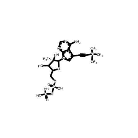 C[C@@]1(O)C(O)C(COP(=O)(O)OP(=O)(O)O)OC1n1cc(C#C[Si](C)(C)C)c2c(N)ncnc21